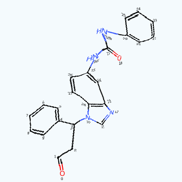 O=CCC(c1ccccc1)n1cnc2cc(NC(=O)Nc3ccccc3)ccc21